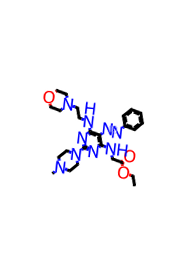 CCOC(=O)CNc1nc(N2CCN(C)CC2)nc(NCCN2CCOCC2)c1/N=N/c1ccccc1